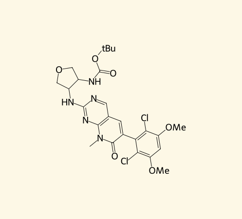 COc1cc(OC)c(Cl)c(-c2cc3cnc(NC4COCC4NC(=O)OC(C)(C)C)nc3n(C)c2=O)c1Cl